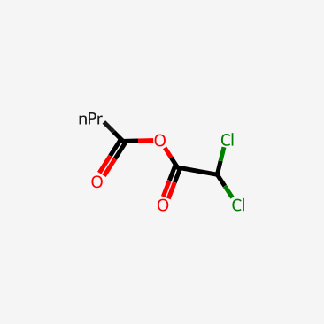 CCCC(=O)OC(=O)C(Cl)Cl